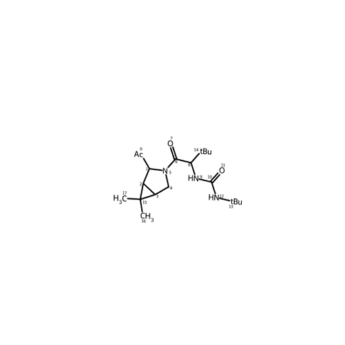 CC(=O)C1C2C(CN1C(=O)C(NC(=O)NC(C)(C)C)C(C)(C)C)C2(C)C